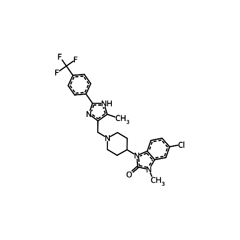 Cc1[nH]c(-c2ccc(C(F)(F)F)cc2)nc1CN1CCC(n2c(=O)n(C)c3cc(Cl)ccc32)CC1